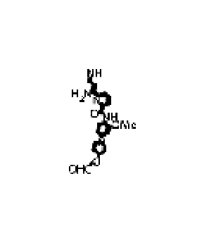 COc1cc(N2CCC(OCC=O)CC2)ccc1NC(=O)c1cccc(/C(N)=C/C=N)n1